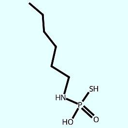 CCCCCCNP(=O)(O)S